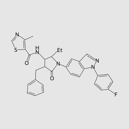 CCC1C(NC(=O)c2scnc2C)C(Cc2ccccc2)C(=O)N1c1ccc2c(cnn2-c2ccc(F)cc2)c1